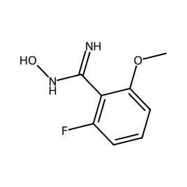 COc1cccc(F)c1C(=N)NO